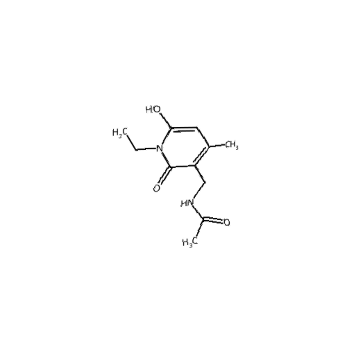 CCn1c(O)cc(C)c(CNC(C)=O)c1=O